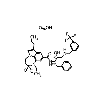 CCCc1cn2c3c(cc(C(=O)N[C@@H](Cc4ccccc4)[C@H](O)CNCc4cccc(C(F)(F)F)c4)cc13)N(CC)S(=O)(=O)CC2.O=CO